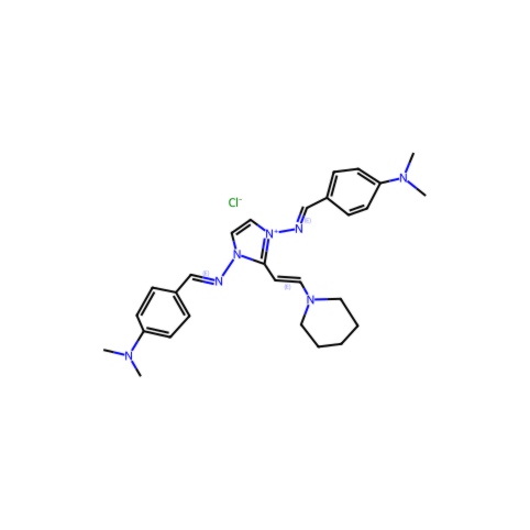 CN(C)c1ccc(/C=N/n2cc[n+](/N=C/c3ccc(N(C)C)cc3)c2/C=C/N2CCCCC2)cc1.[Cl-]